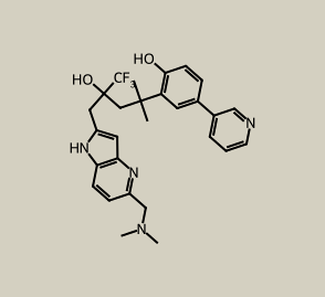 CN(C)Cc1ccc2[nH]c(CC(O)(CC(C)(C)c3cc(-c4cccnc4)ccc3O)C(F)(F)F)cc2n1